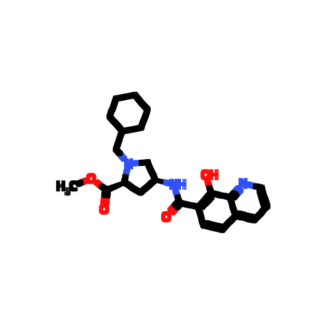 COC(=O)[C@@H]1C[C@H](NC(=O)c2ccc3cccnc3c2O)CN1CC1CCCCC1